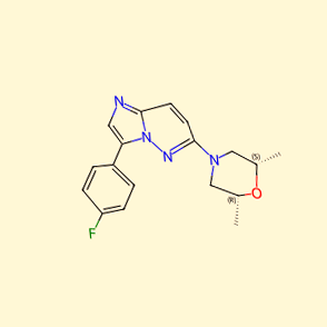 C[C@@H]1CN(c2ccc3ncc(-c4ccc(F)cc4)n3n2)C[C@H](C)O1